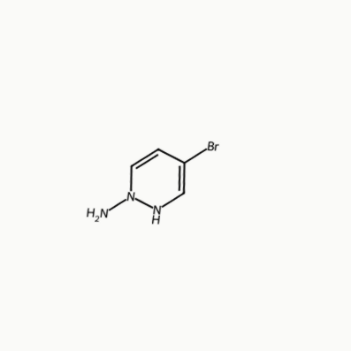 NN1C=CC(Br)=CN1